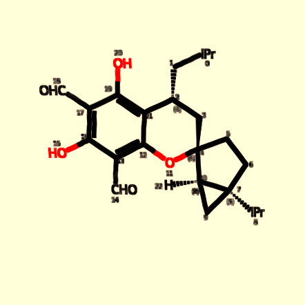 CC(C)C[C@@H]1C[C@]2(CC[C@@]3(C(C)C)C[C@@H]23)Oc2c(C=O)c(O)c(C=O)c(O)c21